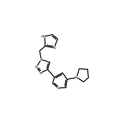 c1c[nH]c(Cn2cc(-c3cncc(N4CCCC4)c3)nn2)n1